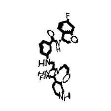 O=C(N[C@@H]1COc2cc(F)ccc21)c1cccc(NCC2NNC3C4CCNCC4OCCN23)c1